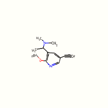 C#Cc1cnc(OCCCC)c([C](C)N(C)C)c1